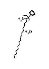 CCCCCCCCCCCCCCCCCC(N)C(CC)(CC)c1ccccc1.O